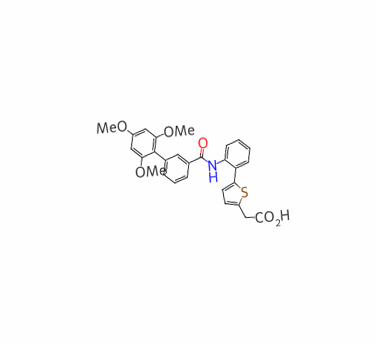 COc1cc(OC)c(-c2cccc(C(=O)Nc3ccccc3-c3ccc(CC(=O)O)s3)c2)c(OC)c1